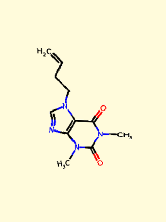 C=CCCn1cnc2c1c(=O)n(C)c(=O)n2C